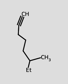 C#CCCCC(C)C[CH2]